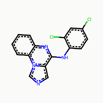 Clc1ccc(Nc2nc3ccccc3n3cncc23)c(Cl)c1